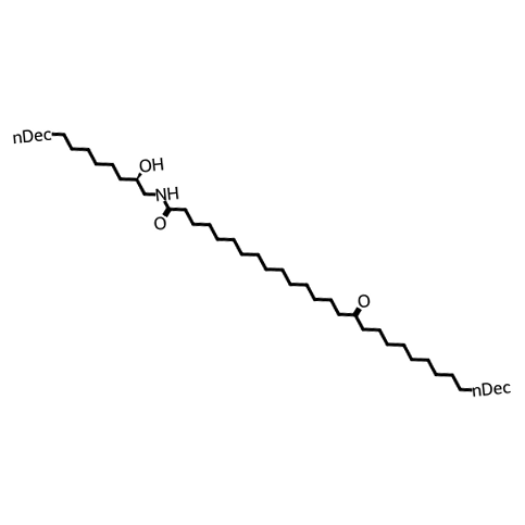 CCCCCCCCCCCCCCCCCCCC(=O)CCCCCCCCCCCCCCC(=O)NC[C@H](O)CCCCCCCCCCCCCCCC